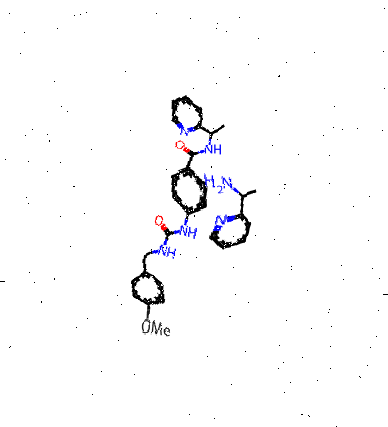 CC(N)c1ccccn1.COc1ccc(CNC(=O)Nc2ccc(C(=O)NC(C)c3ccccn3)cc2)cc1